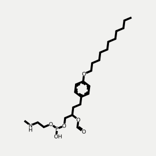 CCCCCCCCCCCOc1ccc(CCC(COP(O)OCCNC)OC=O)cc1